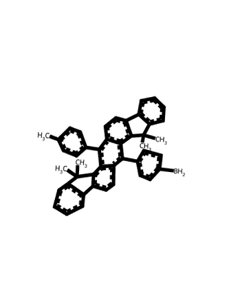 Bc1ccc(-c2c3ccc4c(c3c(-c3ccc(C)cc3)c3ccc5c(c23)C(C)(C)c2ccccc2-5)C(C)(C)c2ccccc2-4)cc1